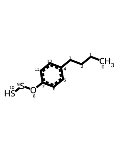 CCCCc1ccc(OSS)cc1